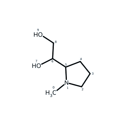 CN1CCCC1C(O)CO